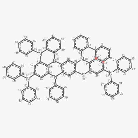 c1ccc(-c2ccccc2N2c3ccc(N(c4ccccc4)c4ccccc4)cc3Sc3cc4c(cc32)B2c3ccccc3N(c3ccccc3)c3cc(N(c5ccccc5)c5ccccc5)cc(c32)N4c2ccccc2)cc1